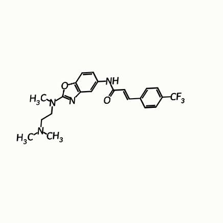 CN(C)CCN(C)c1nc2cc(NC(=O)C=Cc3ccc(C(F)(F)F)cc3)ccc2o1